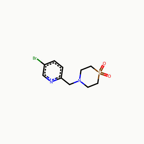 O=S1(=O)CCN(Cc2ccc(Br)cn2)CC1